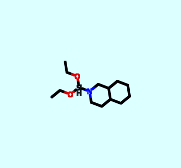 CCO[SiH](OCC)N1CCC2CCCCC2C1